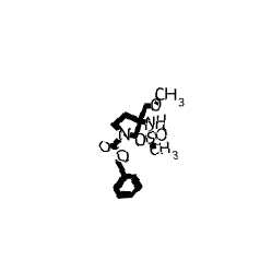 COCC1(NS(C)(=O)=O)CCN(C(=O)OCc2ccccc2)C1